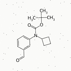 CC(C)(C)OC(=O)N(c1cccc(C=O)c1)C1CCC1